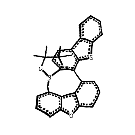 CC1(C)OB(c2cccc3oc4cccc(-c5cccc6c5sc5ccccc56)c4c23)OC1(C)C